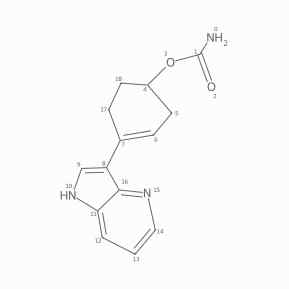 NC(=O)OC1CC=C(c2c[nH]c3cccnc23)CC1